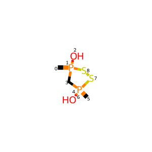 C=P1(O)CP(=C)(O)SS1